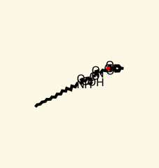 CCCCCCCCCCCCCCCCCCNC(=O)OCC(COC(=O)NCCOS(=O)(=O)c1ccc(C)cc1)OC